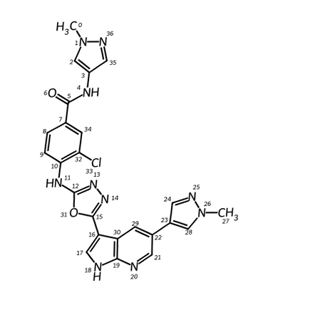 Cn1cc(NC(=O)c2ccc(Nc3nnc(-c4c[nH]c5ncc(-c6cnn(C)c6)cc45)o3)c(Cl)c2)cn1